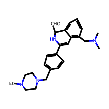 CCN1CCN(Cc2ccc(C3=Cc4c(CN(C)C)cccc4C(C=O)N3)cc2)CC1